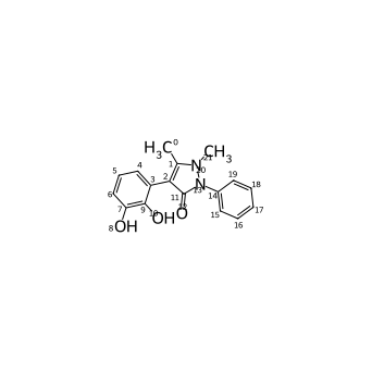 Cc1c(-c2cccc(O)c2O)c(=O)n(-c2ccccc2)n1C